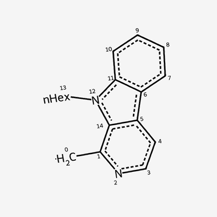 [CH2]c1nccc2c3ccccc3n(CCCCCC)c12